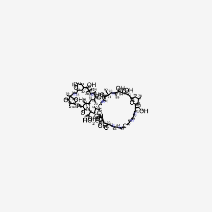 C/C1=C\CC(C(C)C(O)C(NC(=O)C(C)C(C)CCC(C)C(O)/C(C)=C/C(C)(C)C(O)C(CC(=O)/C=C/C(C)(C)C(=O)C(C)C(O)C(C)C)CC(C)C)C(C)O)OC(=O)C(C(O)C(=O)O)CC(=O)/C=C/C=C/CC/C=C/C=C/C(CO)C2CC(C)CC(CC(O)C(C)C(O)/C(C)=C/C(C)C1O)O2